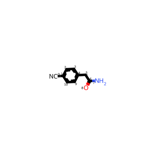 N#Cc1ccc([CH]C(N)=O)cc1